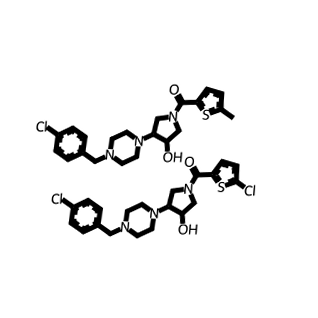 Cc1ccc(C(=O)N2CC(O)C(N3CCN(Cc4ccc(Cl)cc4)CC3)C2)s1.O=C(c1ccc(Cl)s1)N1CC(O)C(N2CCN(Cc3ccc(Cl)cc3)CC2)C1